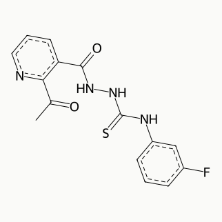 CC(=O)c1ncccc1C(=O)NNC(=S)Nc1cccc(F)c1